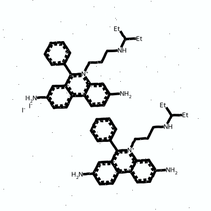 CCC(CC)NCCC[n+]1c(-c2ccccc2)c2cc(N)ccc2c2ccc(N)cc21.CCC(CC)NCCC[n+]1c(-c2ccccc2)c2cc(N)ccc2c2ccc(N)cc21.[I-].[I-]